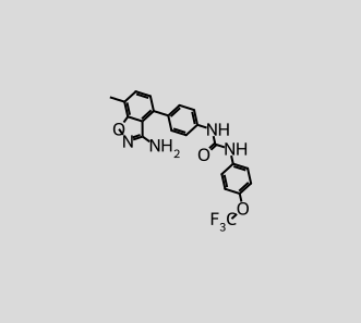 Cc1ccc(-c2ccc(NC(=O)Nc3ccc(OC(F)(F)F)cc3)cc2)c2c(N)noc12